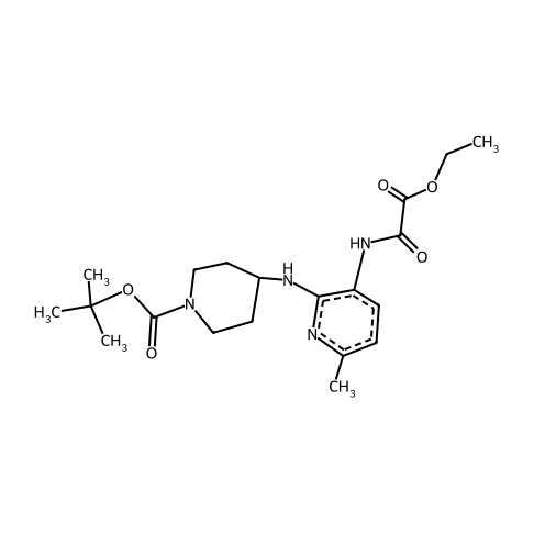 CCOC(=O)C(=O)Nc1ccc(C)nc1NC1CCN(C(=O)OC(C)(C)C)CC1